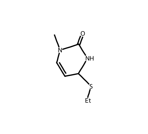 CCSC1C=CN(C)C(=O)N1